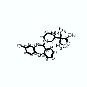 CCC(C)(C(=O)O)C1CN(C2=Nc3cc(Cl)ccc3Oc3ccccc32)CCN1